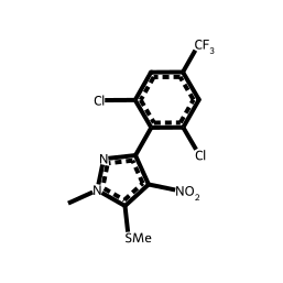 CSc1c([N+](=O)[O-])c(-c2c(Cl)cc(C(F)(F)F)cc2Cl)nn1C